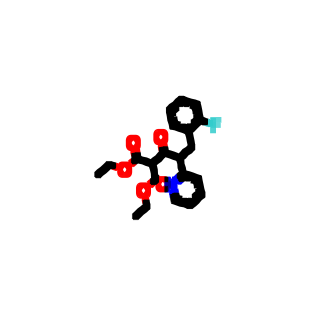 CCOC(=O)C(C(=O)OCC)C(=O)C(Cc1ccccc1F)c1ccccn1